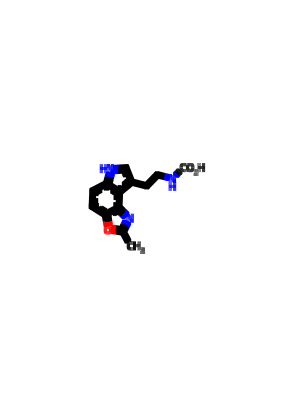 Cc1nc2c(ccc3[nH]cc(CCNC(=O)O)c32)o1